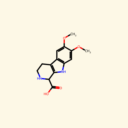 COc1cc2[nH]c3c(c2cc1OC)CCNC3C(=O)O